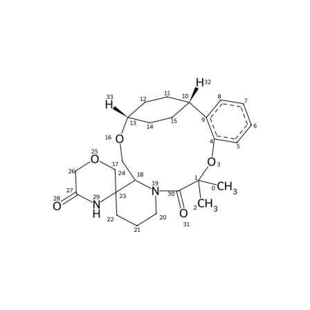 CC1(C)Oc2ccccc2[C@H]2CC[C@H](CC2)OCC2N(CCCC23COCC(=O)N3)C1=O